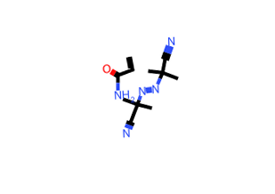 C=CC(N)=O.CC(C)(C#N)N=NC(C)(C)C#N